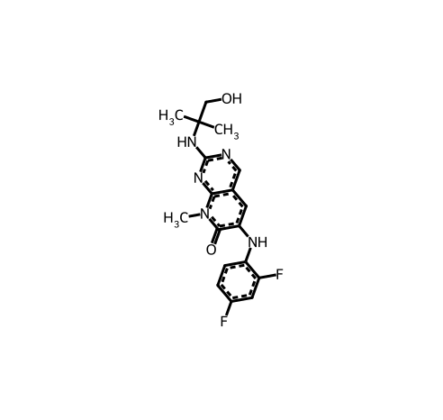 Cn1c(=O)c(Nc2ccc(F)cc2F)cc2cnc(NC(C)(C)CO)nc21